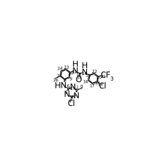 Cc1nc(Cl)nc(Nc2cc(NC(=O)Nc3ccc(Cl)c(C(F)(F)F)c3)ccc2C)n1